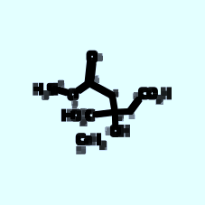 O=C(O)CC(O)(CC(=O)O[SiH3])C(=O)O.[CaH2]